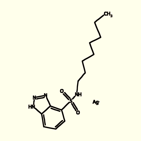 CCCCCCCCNS(=O)(=O)c1cccc2[nH]nnc12.[Ag]